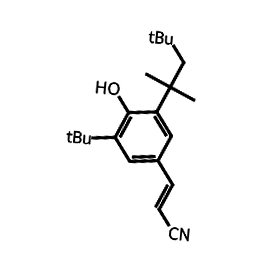 CC(C)(C)CC(C)(C)c1cc(C=CC#N)cc(C(C)(C)C)c1O